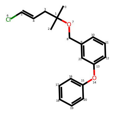 CC(C)(CC=CCl)OCc1cccc(Oc2ccccc2)c1